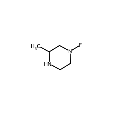 CC1CN(F)CCN1